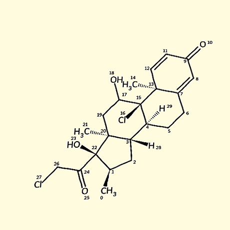 C[C@@H]1C[C@H]2[C@@H]3CCC4=CC(=O)C=C[C@]4(C)[C@@]3(Cl)C(O)C[C@]2(C)[C@@]1(O)C(=O)CCl